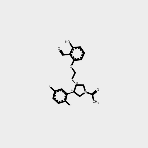 CC(=O)N1C[C@@H](CCOc2cccc(O)c2C=O)[C@H](c2cc(F)ccc2F)C1